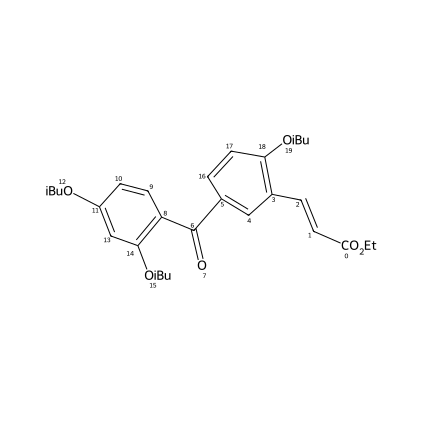 CCOC(=O)C=Cc1cc(C(=O)c2ccc(OCC(C)C)cc2OCC(C)C)ccc1OCC(C)C